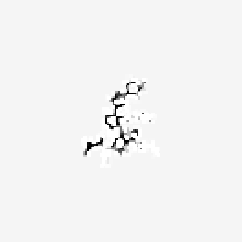 COc1c(Nc2cc(NC(=O)C3CC3)nnc2C(N)=O)cccc1-c1cnn(C2CCOCC2)c1